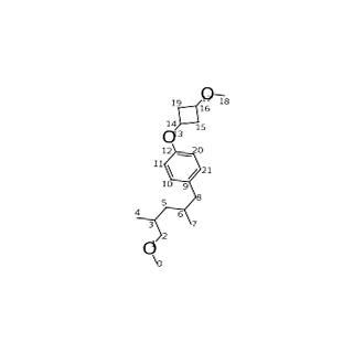 COCC(C)CC(C)Cc1ccc(OC2CC(OC)C2)cc1